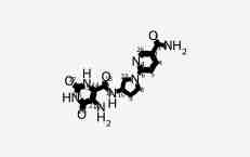 NC(=O)c1ccc(N2CCC(NC(=O)c3[nH]c(=O)[nH]c(=O)c3N)C2)nc1